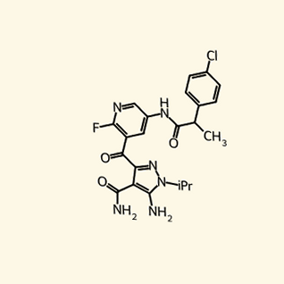 CC(C(=O)Nc1cnc(F)c(C(=O)c2nn(C(C)C)c(N)c2C(N)=O)c1)c1ccc(Cl)cc1